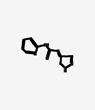 O=C(N=c1cn[nH]s1)Nc1ccccn1